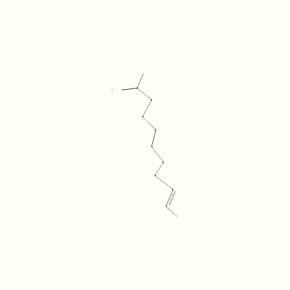 CC=CCCCCCCC(C)Br